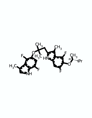 Cc1c(CC(C)(C)Oc2cc(F)c3[nH]cc(C)c3c2F)[nH]c2cc(F)c(O[C@H](C)C(C)C)c(F)c12